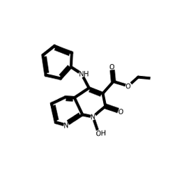 CCOC(=O)c1c(Nc2ccccc2)c2cccnc2n(O)c1=O